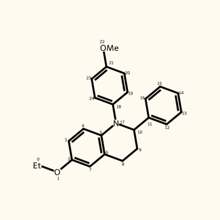 CCOc1ccc2c(c1)CCC(c1ccccc1)N2c1ccc(OC)cc1